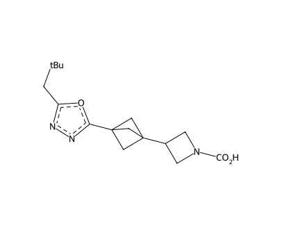 CC(C)(C)Cc1nnc(C23CC(C4CN(C(=O)O)C4)(C2)C3)o1